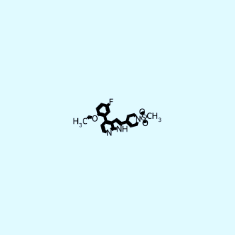 CCOc1ccc(F)cc1-c1ccnc2[nH]c(C3=CCN(S(C)(=O)=O)CC3)cc12